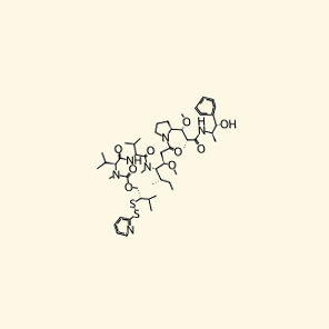 CC[C@H](C)[C@@H]([C@@H](CC(=O)N1CCC[C@H]1[C@H](OC)[C@@H](C)C(=O)N[C@H](C)[C@@H](O)c1ccccc1)OC)N(C)C(=O)C(NC(=O)[C@H](C(C)C)N(C)C(=O)OC[C@@H](SSc1ccccn1)C(C)C)C(C)C